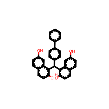 Oc1ccc2ccc(O)c(C(c3ccc(-c4ccccc4)cc3)c3c(O)ccc4ccc(O)cc34)c2c1